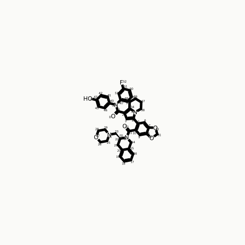 O=C(c1cc(-c2cc3c(cc2C(=O)N2Cc4ccccc4C[C@H]2CN2CCOCC2)OCO3)n2c1CCCC2)N(c1ccc(O)cc1)c1cccc(F)c1